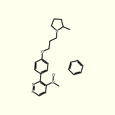 CC1CCCN1CCCOc1ccc(-c2nnccc2[S+](C)[O-])cc1.c1ccccc1